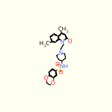 Cc1ccc2c(C)cc(=O)n(CCN3CCC(NS(=O)(=O)c4ccc5c(c4)OCCO5)CC3)c2c1